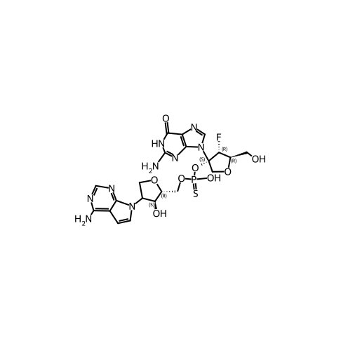 Nc1nc2c(ncn2[C@]2(OP(O)(=S)OC[C@H]3OCC(n4ccc5c(N)ncnc54)[C@@H]3O)CO[C@H](CO)[C@H]2F)c(=O)[nH]1